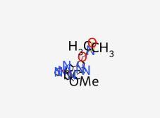 COc1ccc(CN2C3CC2CN(c2ccc(-c4cc(OCCN=S(C)(C)=O)cc5ncc(C#N)n45)cn2)C3)cn1